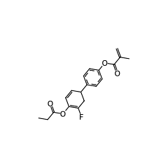 C=C(C)C(=O)Oc1ccc(C2C=CC(OC(=O)CC)=C(F)C2)cc1